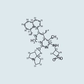 C=N/C(=C(/F)c1nc(OCC23CCCN2CCC3)nc(NC2CS(=O)(=O)C2)c1C)c1cccc2cccc(F)c12